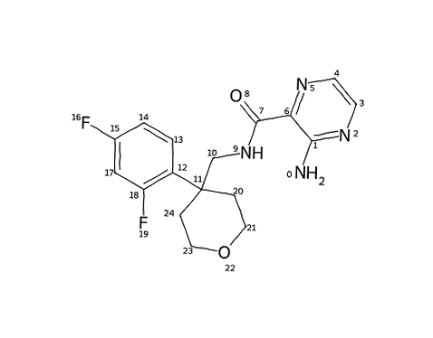 Nc1nccnc1C(=O)NCC1(c2ccc(F)cc2F)CCOCC1